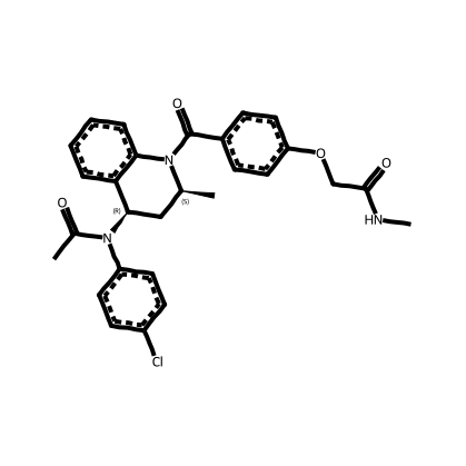 CNC(=O)COc1ccc(C(=O)N2c3ccccc3[C@H](N(C(C)=O)c3ccc(Cl)cc3)C[C@@H]2C)cc1